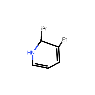 CCC1=CC=CNC1C(C)C